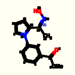 COC(=O)c1cccc(-n2cccc2/C(C)=N\O)c1